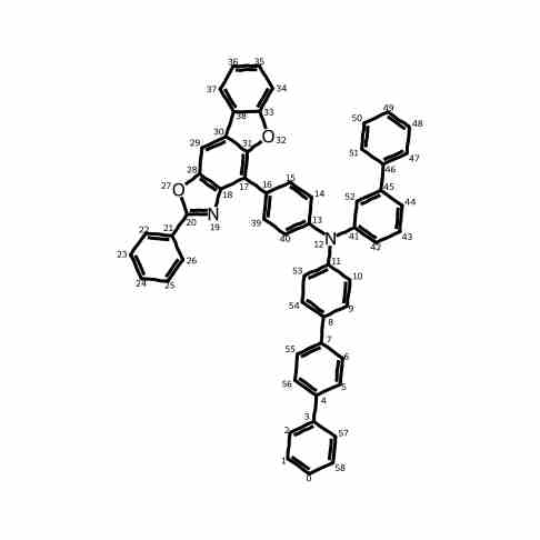 c1ccc(-c2ccc(-c3ccc(N(c4ccc(-c5c6nc(-c7ccccc7)oc6cc6c5oc5ccccc56)cc4)c4cccc(-c5ccccc5)c4)cc3)cc2)cc1